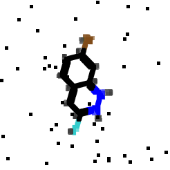 Fc1cc2ccc(Br)cc2nn1